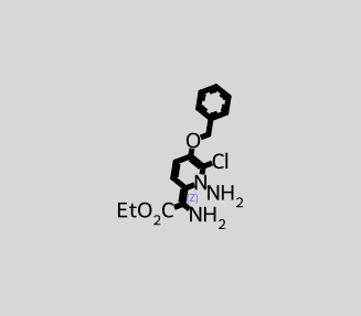 CCOC(=O)/C(N)=C1\C=CC(OCc2ccccc2)=C(Cl)N1N